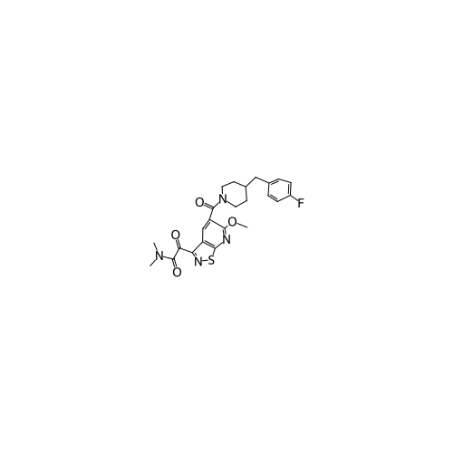 COc1nc2snc(C(=O)C(=O)N(C)C)c2cc1C(=O)N1CCC(Cc2ccc(F)cc2)CC1